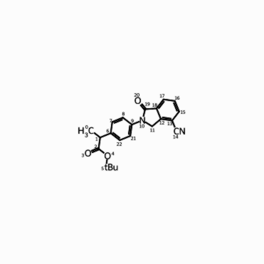 CC(C(=O)OC(C)(C)C)c1ccc(N2Cc3c(C#N)cccc3C2=O)cc1